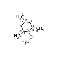 CO[C@@H]1[C@H](N)C[C@H](C)C[C@@H]1C